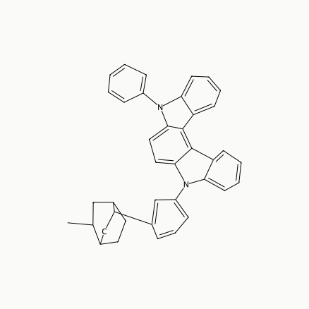 CC1CC2CCC1CC2c1cccc(-n2c3ccccc3c3c4c5ccccc5n(-c5ccccc5)c4ccc32)c1